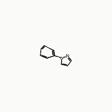 [c]1ccnn1-c1ccccc1